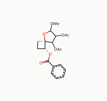 COC1O[C@@]2(CC[C@H]2OC(=O)c2ccccc2)C(OC(C)=O)C1OC(C)=O